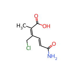 CC(C(=O)O)=C(C=CC(N)=O)CCl